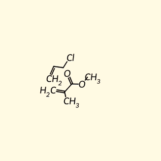 C=C(C)C(=O)OC.C=CCCl